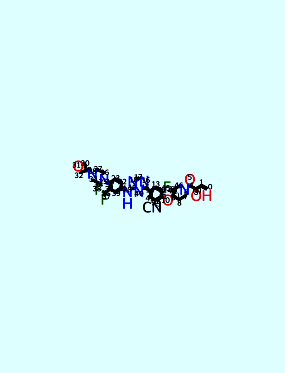 C=C[C@H](O)C(=O)N1CC[C@H](Oc2ccc(-c3ncnc(Nc4ccc(N5CCN(C6COC6)CC5)c(C(F)F)c4)n3)cc2C#N)[C@H](F)C1